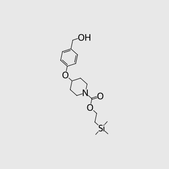 C[Si](C)(C)CCOC(=O)N1CCC(Oc2ccc(CO)cc2)CC1